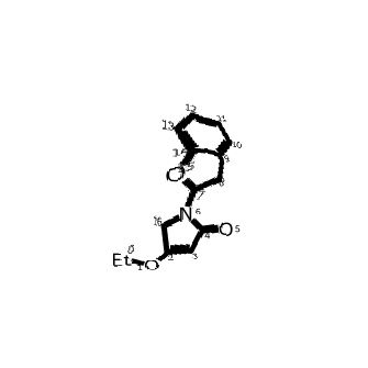 CCOC1=CC(=O)N(C2Cc3ccccc3O2)C1